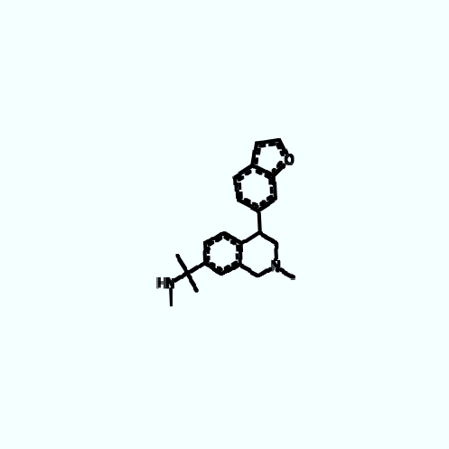 CNC(C)(C)c1ccc2c(c1)CN(C)CC2c1ccc2ccoc2c1